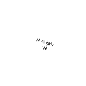 [SiH4].[SiH4].[W].[W]